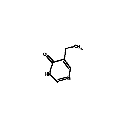 CCc1cn[c][nH]c1=O